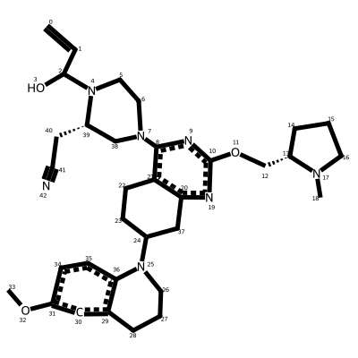 C=CC(O)N1CCN(c2nc(OC[C@@H]3CCCN3C)nc3c2CCC(N2CCCc4cc(OC)ccc42)C3)C[C@@H]1CC#N